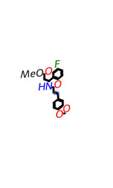 COC(=O)CC(NC(=O)/C=C/c1ccc2c(c1)OCO2)c1cccc(F)c1